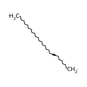 [CH2]CCCCCCC#CCCCCCCCCCCCCCCCCCC[CH2]